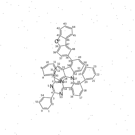 c1ccc(-c2nc(-c3ccccc3)nc(-c3cccc(-c4ccccc4)c3-n3c4ccccc4c4c(-c5ccc6oc7ccccc7c6c5)cccc43)n2)cc1